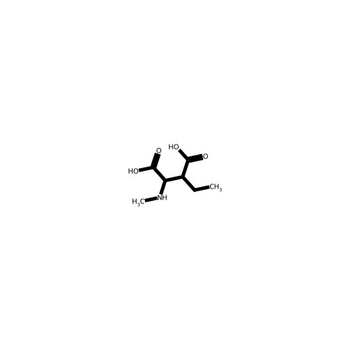 CCC(C(=O)O)C(NC)C(=O)O